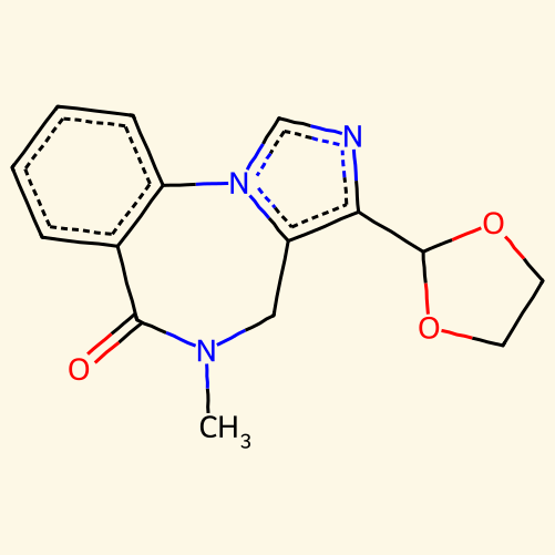 CN1Cc2c(C3OCCO3)ncn2-c2ccccc2C1=O